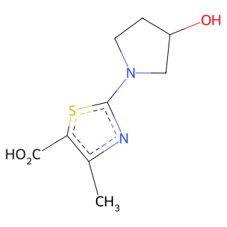 Cc1nc(N2CCC(O)C2)sc1C(=O)O